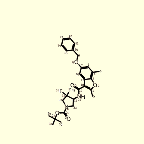 Cc1oc2c(C)cc(OCc3ccccc3)cc2c1C(=O)NC1CN(C(=O)OC(C)(C)C)CC1(F)F